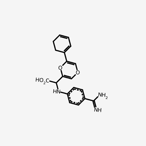 N=C(N)c1ccc(NC(C(=O)O)C2=COC=C(C3=CC=CCC3)O2)cc1